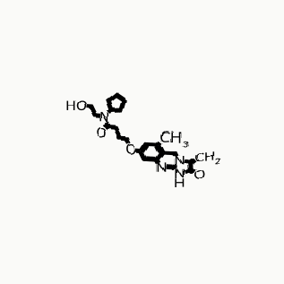 C=c1c(=O)[nH]c2n1Cc1c(C)cc(OCCCC(=O)N(CCO)C3CCCC3)cc1N=2